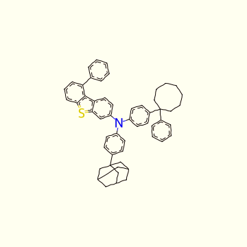 c1ccc(-c2cccc3sc4cc(N(c5ccc(C67CC8CC(CC(C8)C6)C7)cc5)c5ccc(C6(c7ccccc7)CCCCCCC6)cc5)ccc4c23)cc1